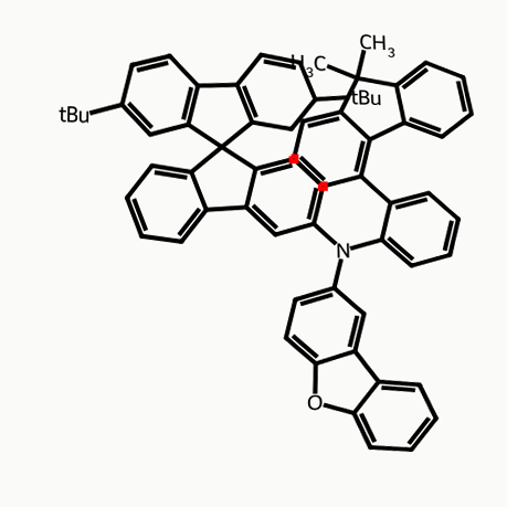 CC(C)(C)c1ccc2c(c1)C1(C3=C2C=CC(C(C)(C)C)C3)c2ccccc2-c2cc(N(c3ccc4oc5ccccc5c4c3)c3ccccc3-c3cccc4c3-c3ccccc3C4(C)C)ccc21